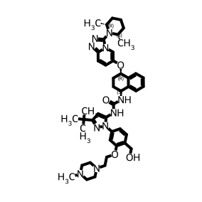 C[C@@H]1CCC[C@H](C)N1c1nnc2ccc(O[C@@H]3CC[C@H](NC(=O)Nc4cc(C(C)(C)C)nn4-c4ccc(CO)c(OCCN5CCN(C)CC5)c4)c4ccccc43)cn12